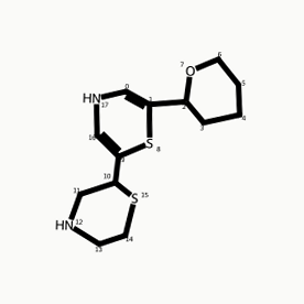 C1=C(C2CCCCO2)SC(C2CNCCS2)=CN1